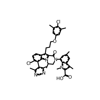 Cc1cc(N2CC(C)n3c(c(CCCOc4cc(C)c(Cl)c(C)c4)c4ccc(Cl)c(-c5c(C)ncnc5C)c43)C2=O)c2c(c1)c(C)c(C(=O)O)n2C